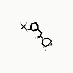 C[C@@H]1CN(C(=O)[CH]c2cccc(OC(F)(F)F)c2)CCN1